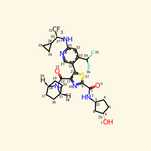 O=C(N[C@H]1CC[C@H](O)C1)c1nc(C(=O)N2[C@H]3CC[C@@H]2CC3)c(-c2cnc(N[C@@H](C3CC3)C(F)(F)F)cc2C(F)F)s1